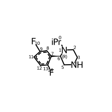 CC(C)N1CCNC[C@H]1c1cc(F)ccc1F